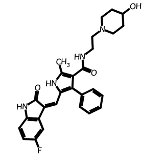 Cc1[nH]c(C=C2C(=O)Nc3ccc(F)cc32)c(-c2ccccc2)c1C(=O)NCCN1CCC(O)CC1